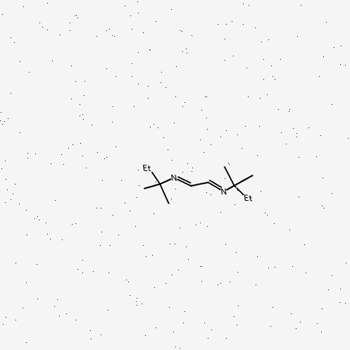 CCC(C)(C)N=CC=NC(C)(C)CC